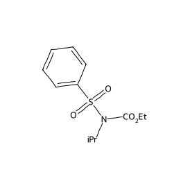 CCOC(=O)N(C(C)C)S(=O)(=O)c1ccccc1